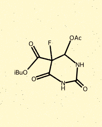 CC(=O)OC1NC(=O)NC(=O)C1(F)C(=O)OCC(C)C